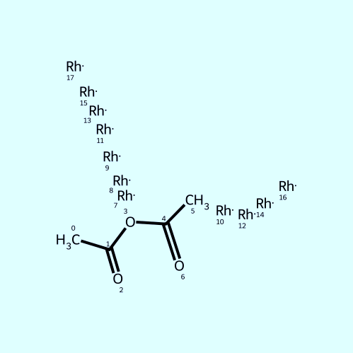 CC(=O)OC(C)=O.[Rh].[Rh].[Rh].[Rh].[Rh].[Rh].[Rh].[Rh].[Rh].[Rh].[Rh]